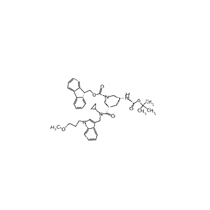 COCCCn1cc(CN(C(=O)[C@H]2C[C@@H](NC(=O)OC(C)(C)C)CN(C(=O)OCC3c4ccccc4-c4ccccc43)C2)C2CC2)c2ccccc21